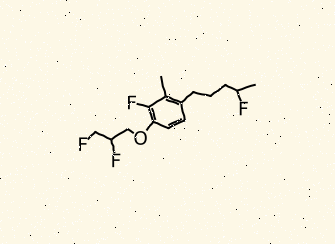 Cc1c(CCCC(C)F)ccc(OCC(F)CF)c1F